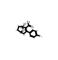 CCC(=O)C1=C(c2ccc(F)cc2)CC2CC[C@H]1O2